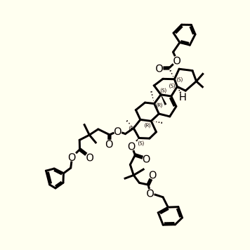 CC(C)(CC(=O)OCc1ccccc1)CC(=O)OC[C@@]1(C)C2CC[C@]3(C)C(CC=C4[C@@H]5CC(C)(C)CC[C@]5(C(=O)OCc5ccccc5)CC[C@]43C)[C@@]2(C)CC[C@@H]1OC(=O)CC(C)(C)CC(=O)OCc1ccccc1